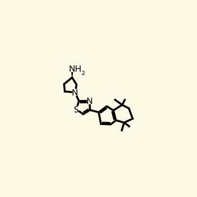 CC1(C)CCC(C)(C)c2cc(-c3csc(N4CC[C@@H](N)C4)n3)ccc21